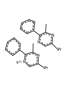 Cc1nc(C(C)C)cnc1-c1ccccc1.Cc1nc(C(C)C)cnc1-c1ccccc1.[Ir+3]